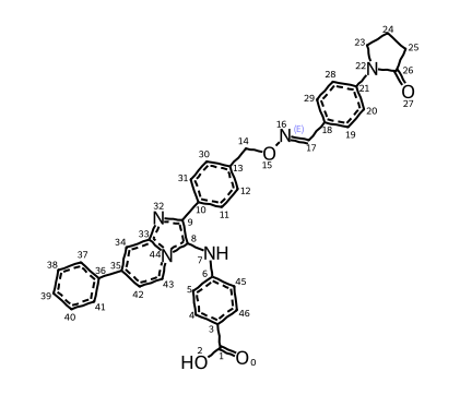 O=C(O)c1ccc(Nc2c(-c3ccc(CO/N=C/c4ccc(N5CCCC5=O)cc4)cc3)nc3cc(-c4ccccc4)ccn23)cc1